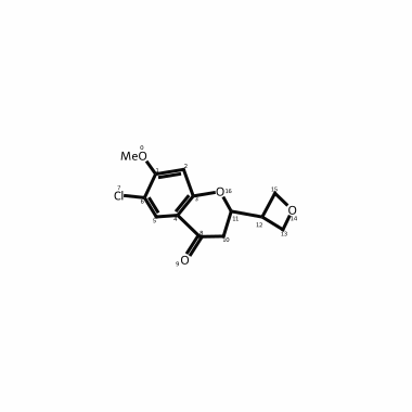 COc1cc2c(cc1Cl)C(=O)CC(C1COC1)O2